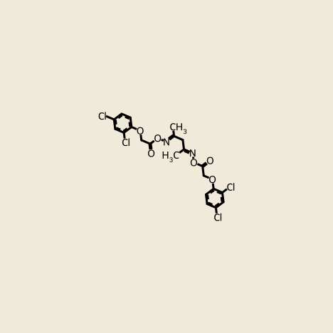 C/C(C/C(C)=N/OC(=O)COc1ccc(Cl)cc1Cl)=N\OC(=O)COc1ccc(Cl)cc1Cl